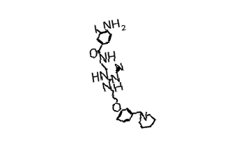 N#CNC(=NCCCOc1cccc(CN2CCCCC2)c1)NCCNC(=O)c1ccc(N)c(I)c1